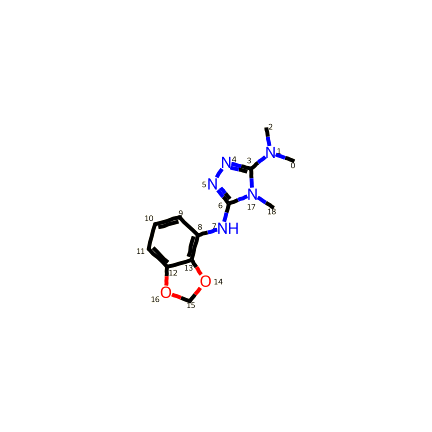 CN(C)c1nnc(Nc2cccc3c2OCO3)n1C